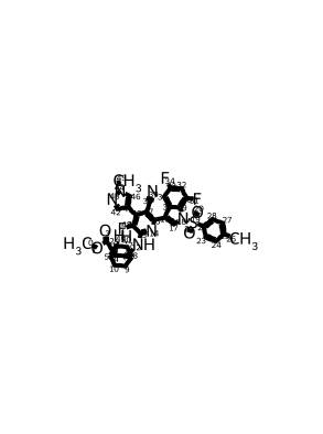 COC(=O)[C@H]1C2CCC(CC2)[C@@H]1Nc1nc(-c2cn(S(=O)(=O)c3ccc(C)cc3)c3c(F)cc(F)cc23)c(C#N)c(-c2cnn(C)c2)c1F